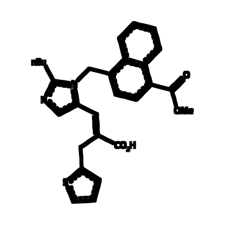 CCCCc1ncc(C=C(Cc2cccs2)C(=O)O)n1Cc1ccc(C(=O)OC)c2ccccc12